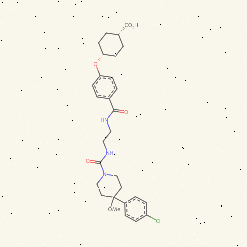 COC1(c2ccc(Cl)cc2)CCN(C(=O)NCCNC(=O)c2ccc(O[C@H]3CC[C@@H](C(=O)O)CC3)cc2)CC1